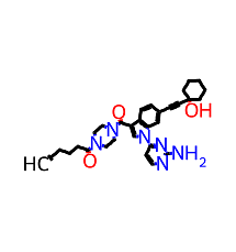 C#CCCCC(=O)N1CCN(C(=O)c2cn(-c3ccnc(N)n3)c3cc(C#CC4(O)CCCCC4)ccc23)CC1